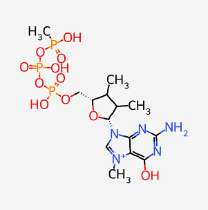 CC1C(C)[C@@H](COP(=O)(O)OP(=O)(O)OP(C)(=O)O)O[C@H]1n1c[n+](C)c2c(O)nc(N)nc21